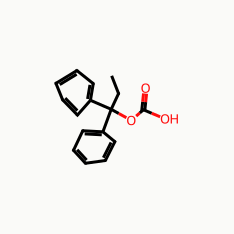 CCC(OC(=O)O)(c1ccccc1)c1ccccc1